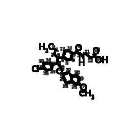 CCCC(c1ccc(C(=O)NCCC(=O)O)cc1)C(COc1ccc2cc(OC)ccc2c1)c1ccc(Cl)cc1